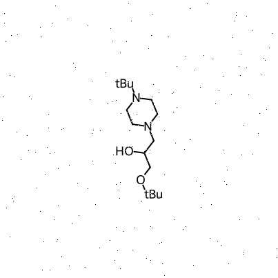 CC(C)(C)OCC(O)CN1CCN(C(C)(C)C)CC1